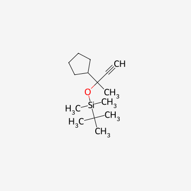 C#CC(C)(O[Si](C)(C)C(C)(C)C)C1CCCC1